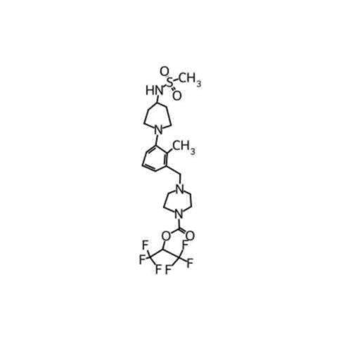 Cc1c(CN2CCN(C(=O)OC(C(F)(F)F)C(F)(F)F)CC2)cccc1N1CCC(NS(C)(=O)=O)CC1